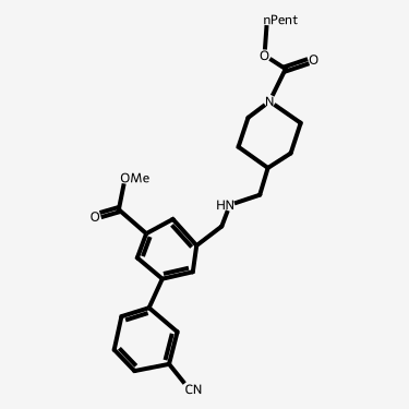 CCCCCOC(=O)N1CCC(CNCc2cc(C(=O)OC)cc(-c3cccc(C#N)c3)c2)CC1